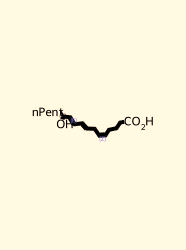 CCCCC[C@H](O)/C=C/C=CC/C=C\CCCC(=O)O